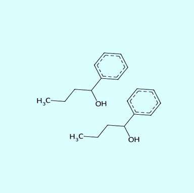 CCCC(O)c1ccccc1.CCCC(O)c1ccccc1